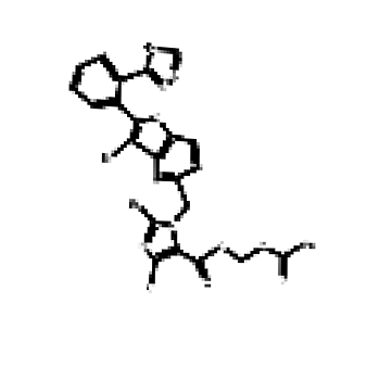 CCc1nc(Cl)c(C(=O)OCOC(=O)C(C)(C)C)n1Cc1ccc2oc(-c3ccccc3-c3nnn[nH]3)c(Br)c2c1